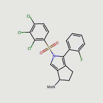 CNC1CCc2c1cn(S(=O)(=O)c1ccc(Cl)c(Cl)c1Cl)c2-c1ccccc1F